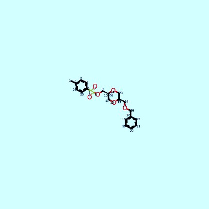 Cc1ccc(S(=O)(=O)OC[C@@H]2CO[C@H](COCc3ccccc3)CO2)cc1